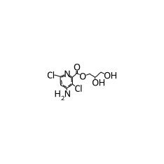 Nc1cc(Cl)nc(C(=O)OCC(O)CO)c1Cl